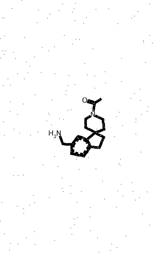 CC(=O)N1CCC2(CCc3ccc(CN)cc32)CC1